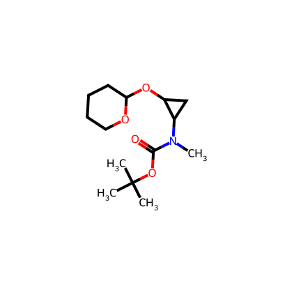 CN(C(=O)OC(C)(C)C)C1CC1OC1CCCCO1